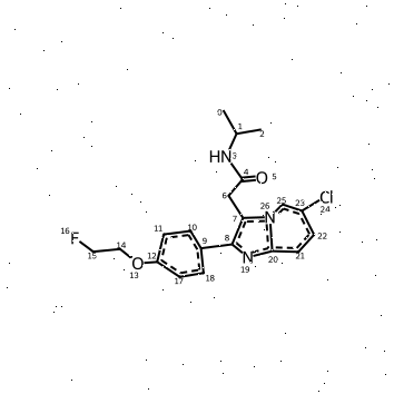 CC(C)NC(=O)Cc1c(-c2ccc(OCCF)cc2)nc2ccc(Cl)cn12